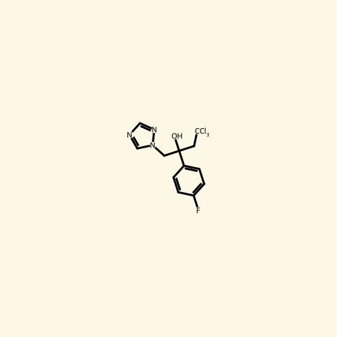 OC(Cn1cncn1)(CC(Cl)(Cl)Cl)c1ccc(F)cc1